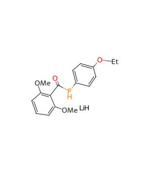 CCOc1ccc(PC(=O)c2c(OC)cccc2OC)cc1.[LiH]